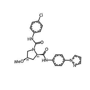 CO[C@@H]1C[C@H](C(=O)Nc2ccc(-n3cccn3)cc2)N(C(=O)Nc2ccc(Cl)cc2)C1